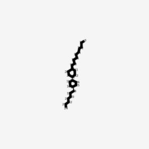 CCCCCCCCCCC1CCC([C@H]2CC[C@H](CCCCCCC)CC2)CC1